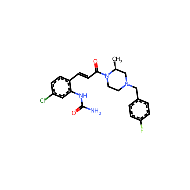 C[C@H]1CN(Cc2ccc(F)cc2)CCN1C(=O)C=Cc1ccc(Cl)cc1NC(N)=O